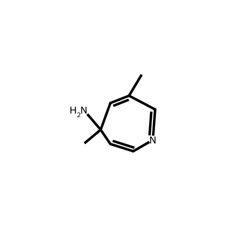 CC1=CC(C)(N)C=CN=C1